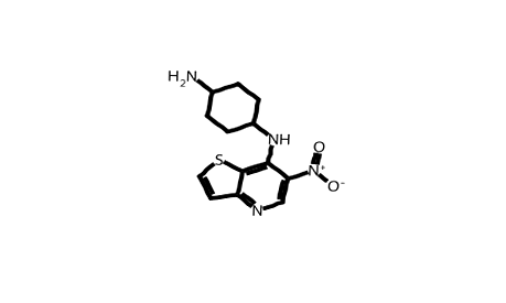 NC1CCC(Nc2c([N+](=O)[O-])cnc3ccsc23)CC1